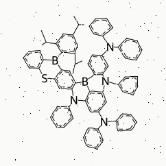 CC(C)c1cc(C(C)C)c(B2c3ccccc3Sc3cc4c(cc32)B2c3ccc(N(c5ccccc5)c5ccccc5)cc3N(c3ccccc3)c3cc(N(c5ccccc5)c5ccccc5)cc(c32)N4c2ccccc2)c(C(C)C)c1